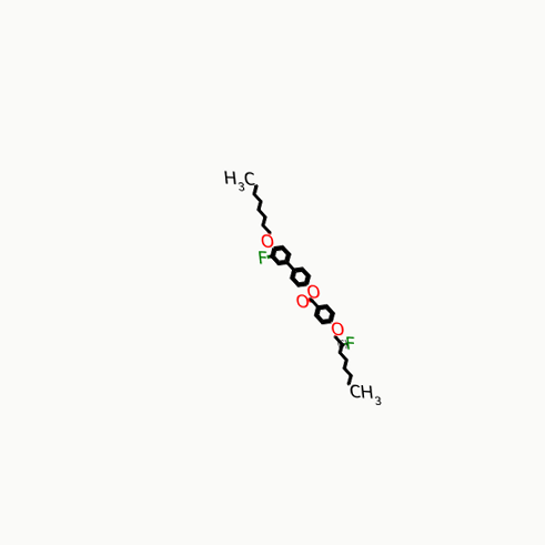 CCCCCCCCOc1ccc(-c2ccc(OC(=O)c3ccc(OC[C@@H](F)CCCCCC)cc3)cc2)cc1F